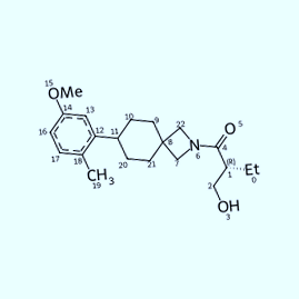 CC[C@H](CO)C(=O)N1CC2(CCC(c3cc(OC)ccc3C)CC2)C1